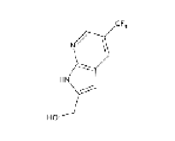 OCc1cc2cc(C(F)(F)F)cnc2[nH]1